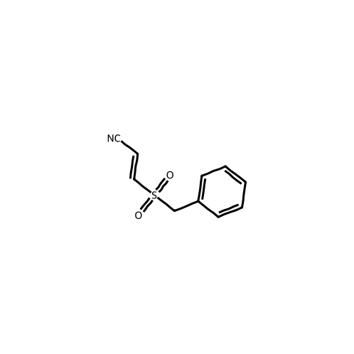 N#CC=CS(=O)(=O)Cc1ccccc1